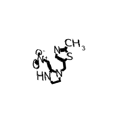 Cc1ncc(CN2CCNC2=C[N+](=O)[O-])s1